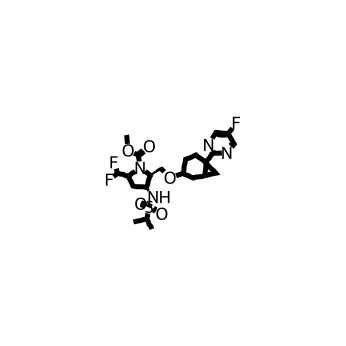 COC(=O)N1C(C(F)F)C[C@H](NS(=O)(=O)C(C)C)[C@@H]1COC1CCC2(c3ncc(F)cn3)CC2C1